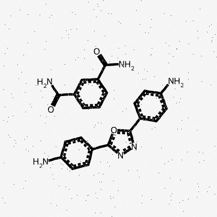 NC(=O)c1cccc(C(N)=O)c1.Nc1ccc(-c2nnc(-c3ccc(N)cc3)o2)cc1